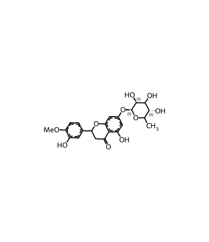 COc1ccc(C2CC(=O)c3c(O)cc(O[C@@H]4OC(C)[C@@H](O)C(O)[C@@H]4O)cc3O2)cc1O